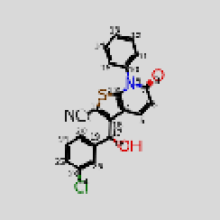 N#Cc1sc2c(ccc(=O)n2-c2ccccc2)c1C(O)c1cccc(Cl)c1